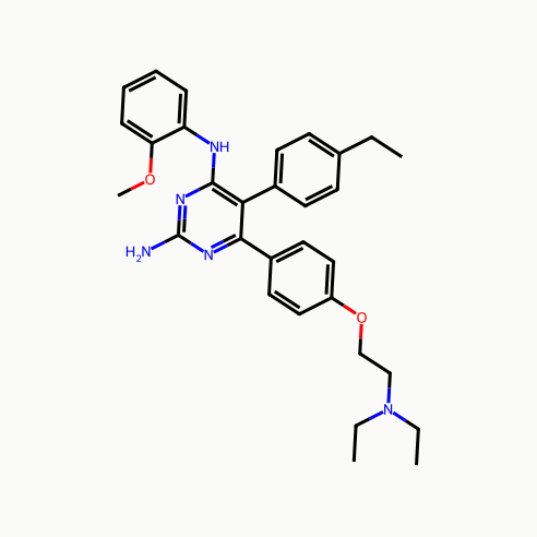 CCc1ccc(-c2c(Nc3ccccc3OC)nc(N)nc2-c2ccc(OCCN(CC)CC)cc2)cc1